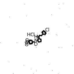 CN(CCc1ccc(Cl)cc1)C1CCCC1NC(=O)c1ccc(S(C)(=O)=O)cc1.Cl